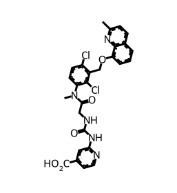 Cc1ccc2cccc(OCc3c(Cl)ccc(N(C)C(=O)CNC(=O)Nc4cc(C(=O)O)ccn4)c3Cl)c2n1